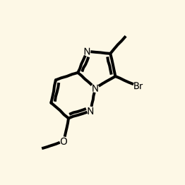 COc1ccc2nc(C)c(Br)n2n1